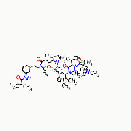 CC[C@H](C)[C@@H]([C@@H](CC(=O)N1CCC[C@H]1[C@H](OC)[C@@H](C)C(=O)N(C)CCc1cccc(NC(=O)C(C)C)c1)OC)N(C)C(=O)[C@@H](NC(=O)C(C)(C)CN(C)C)C(C)C